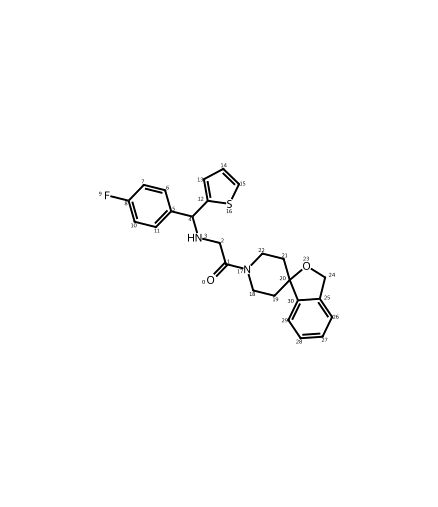 O=C(CNC(c1ccc(F)cc1)c1cccs1)N1CCC2(CC1)OCc1ccccc12